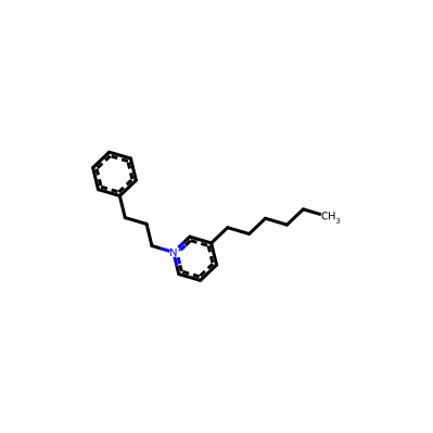 CCCCCCc1ccc[n+](CCCc2ccccc2)c1